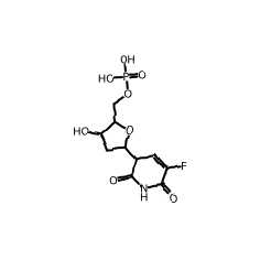 O=C1NC(=O)C(C2CC(O)C(COP(=O)(O)O)O2)C=C1F